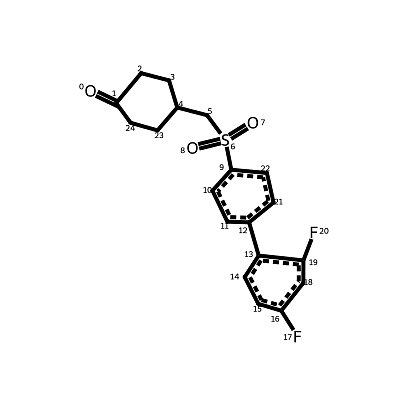 O=C1CCC(CS(=O)(=O)c2ccc(-c3ccc(F)cc3F)cc2)CC1